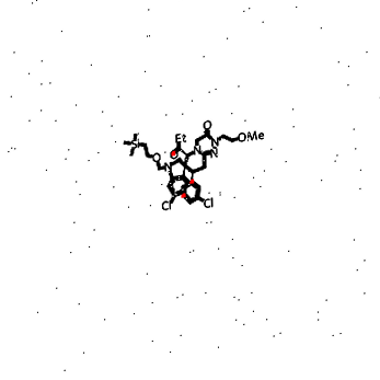 C=C(CC)[C@H]1N2CC(=O)N(CCOC)N=C2C[C@@H](c2cccc(Cl)c2)[C@]12C(=O)N(COCC[Si](C)(C)C)c1cc(Cl)ccc12